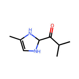 CC1=CNC(C(=O)C(C)C)N1